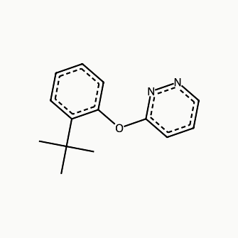 CC(C)(C)c1ccccc1Oc1cccnn1